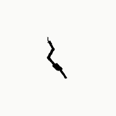 CC#CCCI